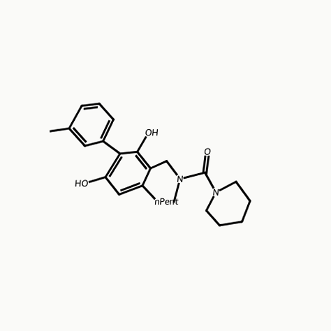 CCCCCc1cc(O)c(-c2cccc(C)c2)c(O)c1CN(C)C(=O)N1CCCCC1